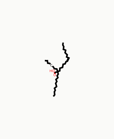 CCCCCCCC/C=C\CCCCCCC(CCCCCCCC)(CCCCCCCCCCCC)C(=O)O